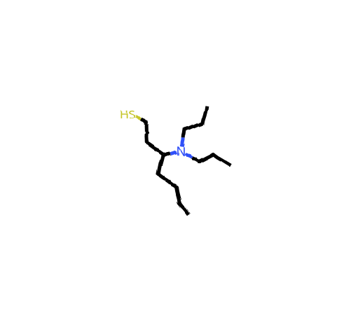 CCCCC(CCS)N(CCC)CCC